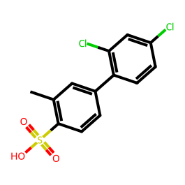 Cc1cc(-c2ccc(Cl)cc2Cl)ccc1S(=O)(=O)O